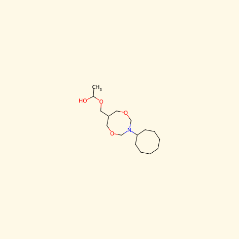 CC(O)OCC1COCN(C2CCCCCCC2)COC1